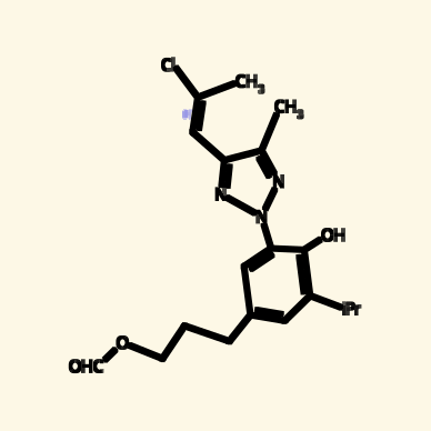 C/C(Cl)=C\c1nn(-c2cc(CCCOC=O)cc(C(C)C)c2O)nc1C